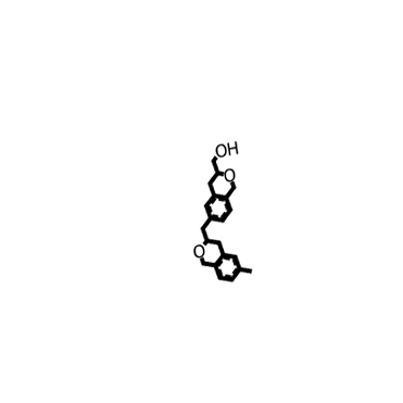 Cc1ccc2c(c1)CC(Cc1ccc3c(c1)CC(CO)OC3)OC2